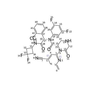 C=C/N=C(\C=C(/C)C#N)N1C(=O)CNC[C@H]1C(=O)N(c1cc(F)cc(F)c1)[C@H](C(=O)NC1CC(F)(F)C1)c1ccccc1Cl